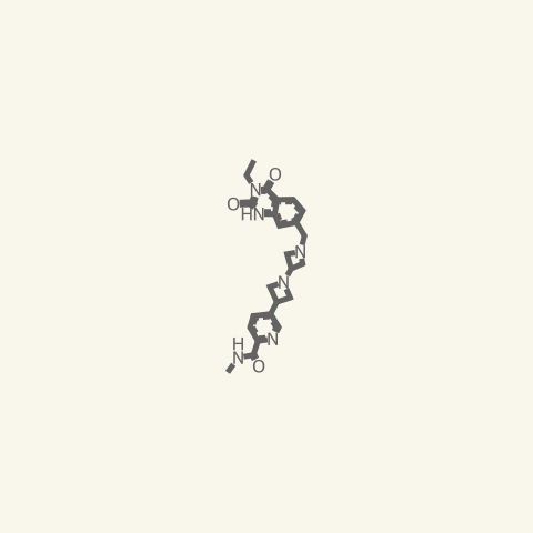 CCn1c(=O)[nH]c2cc(CN3CC(N4CC(c5ccc(C(=O)NC)nc5)C4)C3)ccc2c1=O